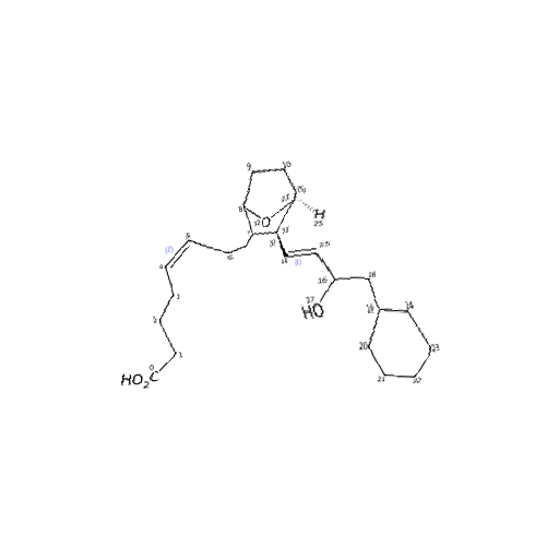 O=C(O)CCC/C=C\CC1C2CC[C@H](O2)[C@H]1/C=C/C(O)CC1CCCCC1